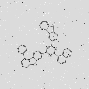 CC1(C)c2ccccc2-c2cc(-c3nc(-c4ccc5c(c4)oc4cccc(-c6ccccc6)c45)nc(-c4cccc5ccccc45)n3)ccc21